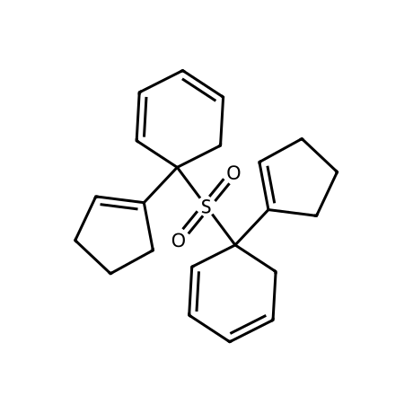 O=S(=O)(C1(C2=CCCC2)C=CC=CC1)C1(C2=CCCC2)C=CC=CC1